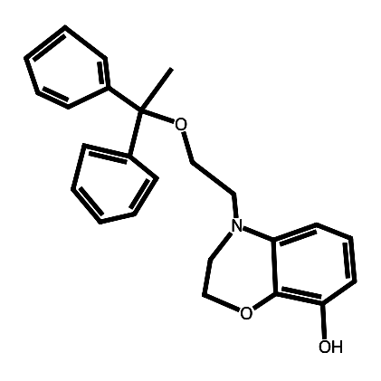 CC(OCCN1CCOc2c(O)cccc21)(c1ccccc1)c1ccccc1